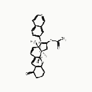 CC(=O)OC1C[C@H]2[C@@H]3OC4=C(C=C3C=C[C@]2(C)[C@H]1c1ccc2ccncc2c1)C(=O)CCC4